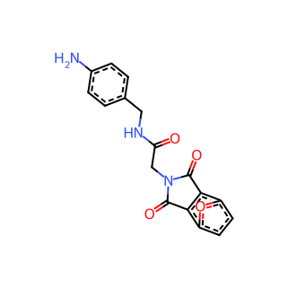 Nc1ccc(CNC(=O)CN2C(=O)c3c(c4ccc3o4)C2=O)cc1